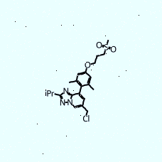 Cc1cc(OCCCS(C)(=O)=O)cc(C)c1-c1cc(CCl)cn2nc(C(C)C)nc12